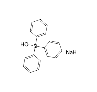 O[Si](c1ccccc1)(c1ccccc1)c1ccccc1.[NaH]